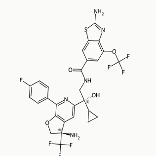 Nc1nc2c(OC(F)(F)F)cc(C(=O)NC[C@](O)(c3cc4c(c(-c5ccc(F)cc5)n3)OC[C@@]4(N)C(F)(F)F)C3CC3)cc2s1